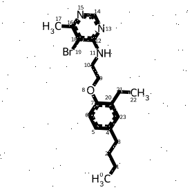 CCCCc1ccc(OCCNc2ncnc(C)c2Br)c(CC)c1